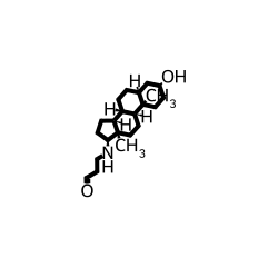 C[C@]12CC[C@@H](O)C[C@@H]1CC[C@@H]1[C@@H]2CC[C@]2(C)[C@@H](NCCC=O)CC[C@@H]12